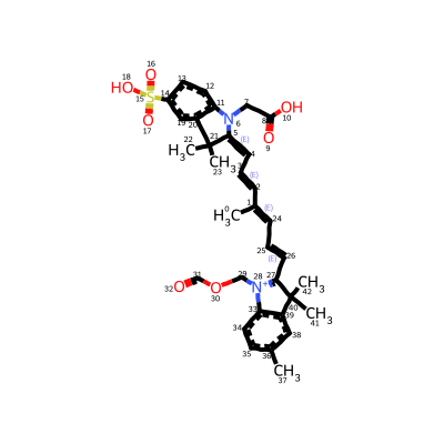 CC(/C=C/C=C1/N(CC(=O)O)c2ccc(S(=O)(=O)O)cc2C1(C)C)=C\C=C\C1=[N+](COC=O)c2ccc(C)cc2C1(C)C